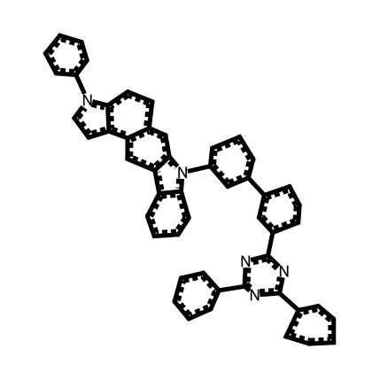 c1ccc(-c2nc(-c3ccccc3)nc(-c3cccc(-c4cccc(-n5c6ccccc6c6cc7c(ccc8c7ccn8-c7ccccc7)cc65)c4)c3)n2)cc1